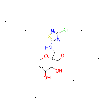 OCC1(CNc2nc(Cl)ns2)OCCC(O)C1O